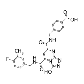 Cc1cc(CNC(=O)c2cc(C(=O)NCc3ccc(C(=O)O)cc3)nc3nnc(O)n23)ccc1F